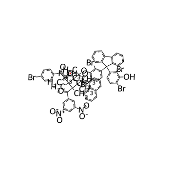 CC(C)(Oc1c(Br)ccc(C2(c3ccc(Br)c(O)c3Br)c3ccccc3-c3ccccc32)c1Br)C(C)(C)C(C)(C(C)(C)C(=O)c1ccc(Br)cc1)C(C)(C(=O)c1cc([N+](=O)[O-])cc([N+](=O)[O-])c1)C(C)(C)C(=O)c1cccc2ccccc12